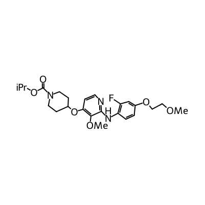 COCCOc1ccc(Nc2nccc(OC3CCN(C(=O)OC(C)C)CC3)c2OC)c(F)c1